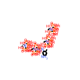 CCN(C(P(=O)(O)O)P(=O)(O)O)C(P(=O)(O)O)P(=O)(O)O.CCN(C(P(=O)(O)O)P(=O)(O)O)C(P(=O)(O)O)P(=O)(O)O.CCN(C(P(=O)(O)O)P(=O)(O)O)C(P(=O)(O)O)P(=O)(O)O.CCN(C(P(=O)(O)O)P(=O)(O)O)C(P(=O)(O)O)P(=O)(O)O.Cc1ccc(N)cc1N